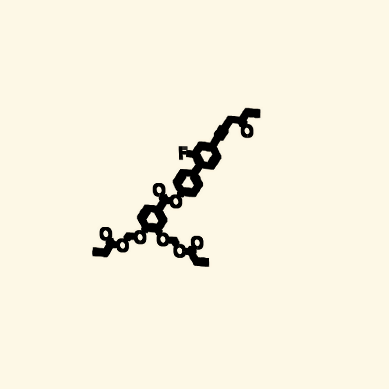 C=CC(=O)CC#Cc1ccc(-c2ccc(OC(=O)c3ccc(OCOC(=O)C=C)c(OCOC(=O)C=C)c3)cc2)c(F)c1